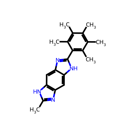 Cc1nc2cc3[nH]c(-c4c(C)c(C)c(C)c(C)c4C)nc3cc2[nH]1